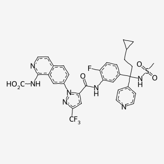 CS(=O)(=O)NC(CCC1CC1)(c1ccncc1)c1ccc(F)c(NC(=O)c2cc(C(F)(F)F)nn2-c2ccc3ccnc(NC(=O)O)c3c2)c1